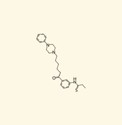 CCC(=S)Nc1cccc(C(=O)CCCCCN2CCN(c3ccccc3)CC2)c1